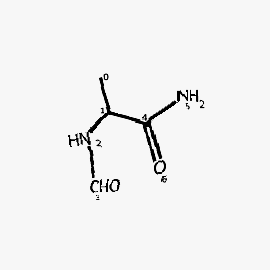 CC(NC=O)C(N)=O